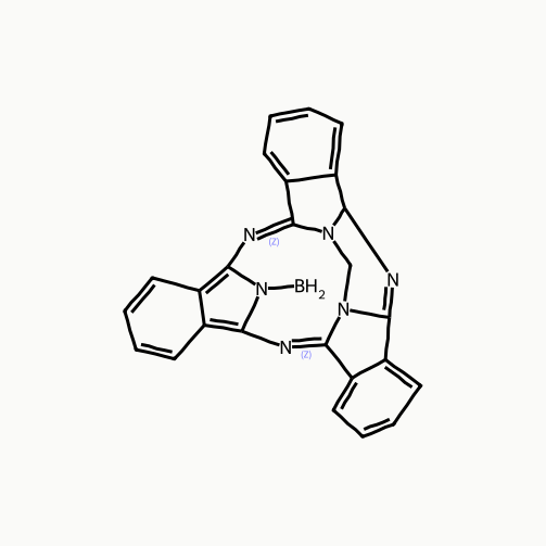 Bn1c2c3ccccc3c1/N=c1/c3ccccc3c3n1CN1/C(=N\2)c2ccccc2C1N=3